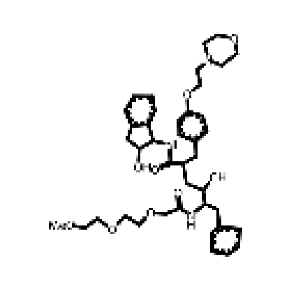 COCCOCCOCC(=O)NC(Cc1ccccc1)C(O)CC(Cc1ccc(OCCN2CCOCC2)cc1)C(=O)NC1c2ccccc2CC1O